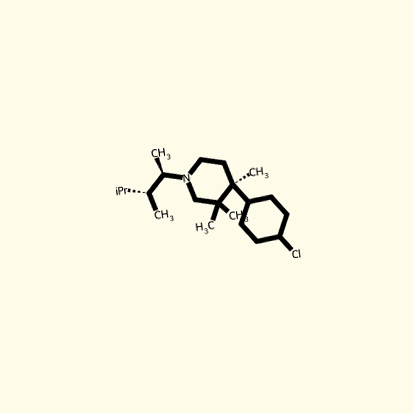 CC(C)[C@@H](C)[C@@H](C)N1CC[C@@](C)(C2CCC(Cl)CC2)C(C)(C)C1